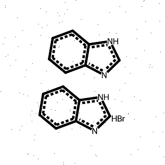 Br.c1ccc2[nH]cnc2c1.c1ccc2[nH]cnc2c1